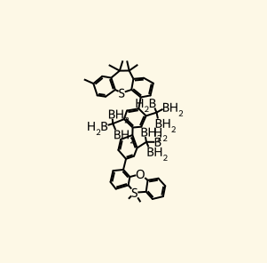 BC(B)(B)c1cc(-c2cccc3c2Oc2ccccc2S3(C)C)ccc1-c1cc(C(B)(B)B)c(-c2cccc3c2Sc2ccc(C)cc2C(C)(C)C3(C)C)cc1C(B)(B)B